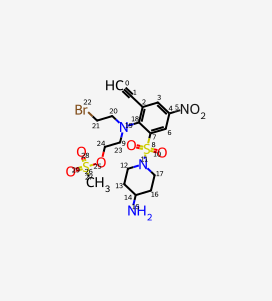 C#Cc1cc([N+](=O)[O-])cc(S(=O)(=O)N2CCC(N)CC2)c1N(CCBr)CCOS(C)(=O)=O